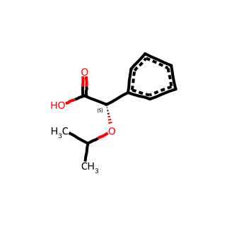 CC(C)O[C@H](C(=O)O)c1ccccc1